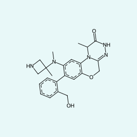 CC1C(=O)NN=C2COc3cc(-c4ccccc4CO)c(N(C)C4(C)CNC4)cc3N21